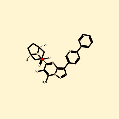 CC(=O)C(=O)N1[C@@H]2CC[C@H]1C[C@H](c1nc3c(-c4ccc(-c5ccccc5)nc4)cnn3c(N)c1C(C)=O)C2